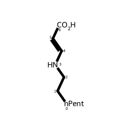 CCCCCCCNC=CC(=O)O